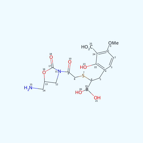 COc1ccc(CC(SCC(=O)N2CC(CN)OC2=O)B(O)O)c(O)c1C(=O)O